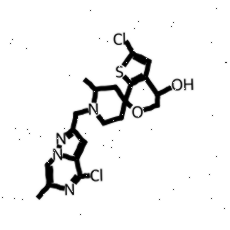 Cc1cn2nc(CN3CCC4(CC3C)OCC(O)c3cc(Cl)sc34)cc2c(Cl)n1